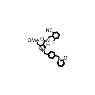 COCc1nn(Cc2ccc(Cn3ccccc3=O)cc2)cc1C(=O)NCc1c(F)cccc1C#N